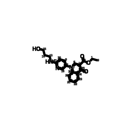 CCOC(=O)c1cn(-c2ccc(NCCCO)nc2)c2ccccc2c1=O